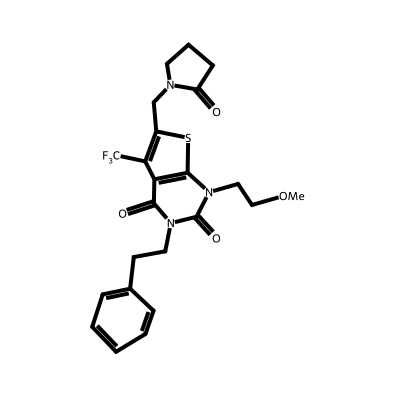 COCCn1c(=O)n(CCc2ccccc2)c(=O)c2c(C(F)(F)F)c(CN3CCCC3=O)sc21